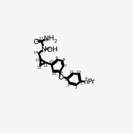 CCCc1ccc(Oc2cccc(C3CC3CN(O)C(N)=O)c2)cc1